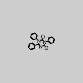 O=c1nc(-c2ccccc2)n(-c2ccccc2)c(=O)n1-c1ccccc1